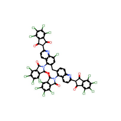 O=C1c2c(Cl)c(Cl)c(Cl)c(Cl)c2C(=O)C1c1ccc2c(N3C(=O)c4c(Cl)c(Cl)c(Cl)c(Cl)c4C3=O)c(Cc3cc(Cl)c4nc(C5C(=O)c6c(Cl)c(Cl)c(Cl)c(Cl)c6C5=O)ccc4c3N3C(=O)c4c(Cl)c(Cl)c(Cl)c(Cl)c4C3=O)ccc2n1